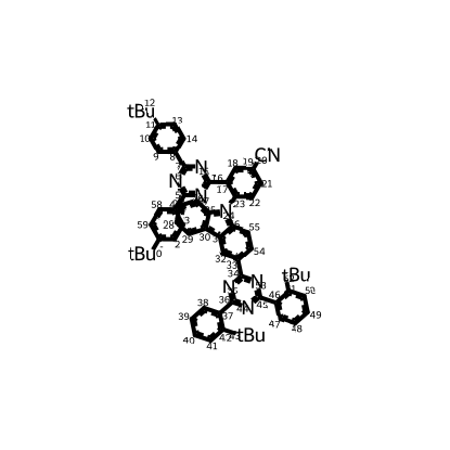 CC(C)(C)c1ccc(-c2nc(-c3ccc(C(C)(C)C)cc3)nc(-c3cc(C#N)ccc3-n3c4ccccc4c4cc(-c5nc(-c6ccccc6C(C)(C)C)nc(-c6ccccc6C(C)(C)C)n5)ccc43)n2)cc1